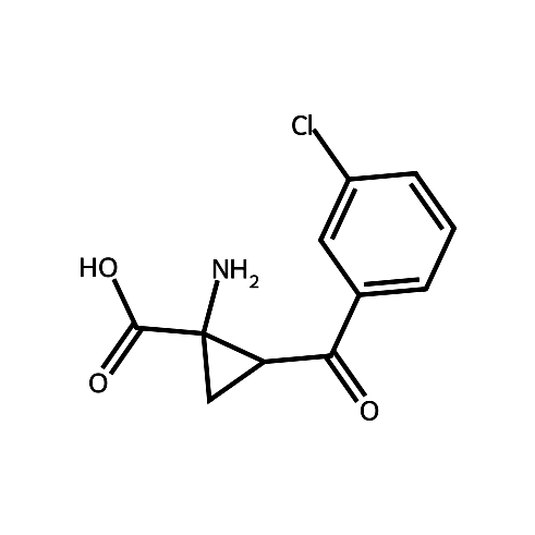 NC1(C(=O)O)CC1C(=O)c1cccc(Cl)c1